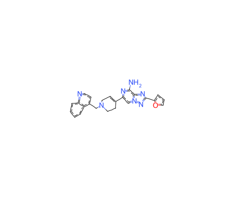 Nc1nc(C2=CCN(Cc3ccnc4ccccc34)CC2)cn2nc(-c3ccco3)nc12